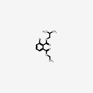 CCOC(=O)c1cccc(Br)c1C(=O)OCC(C)C